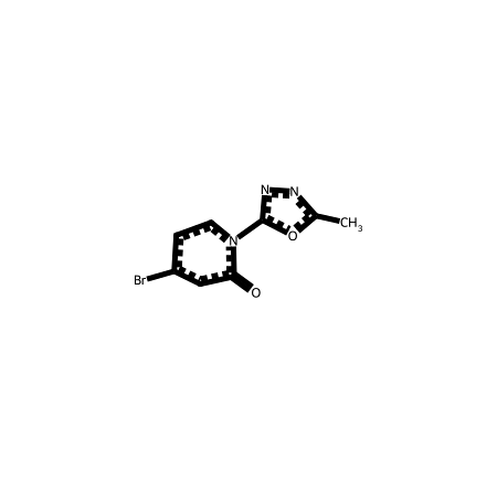 Cc1nnc(-n2ccc(Br)cc2=O)o1